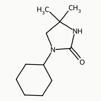 CC1(C)CN(C2CCCCC2)C(=O)N1